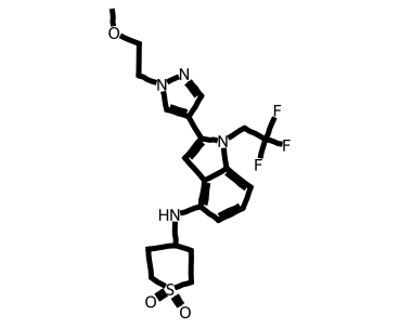 COCCn1cc(-c2cc3c(NC4CCS(=O)(=O)CC4)cccc3n2CC(F)(F)F)cn1